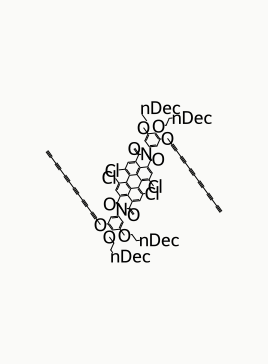 C#CC#CC#CC#CC#CC#COc1cc(N2C(=O)c3cc(Cl)c4c5c(Cl)cc6c7c(cc(Cl)c(c8c(Cl)cc(c3c48)C2=O)c75)C(=O)N(c2cc(OC#CC#CC#CC#CC#CC#C)c(OCCCCCCCCCCCC)c(OCCCCCCCCCCCC)c2)C6=O)cc(OCCCCCCCCCCCC)c1OCCCCCCCCCCCC